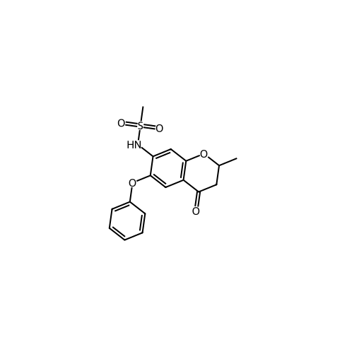 CC1CC(=O)c2cc(Oc3ccccc3)c(NS(C)(=O)=O)cc2O1